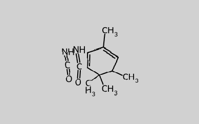 CC1=CC(C)C(C)(C)C=C1.N=C=O.N=C=O